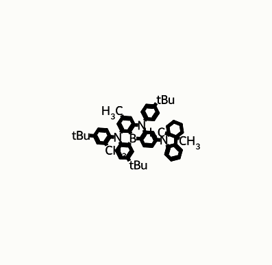 Cc1cc2c3c(c1)N(c1ccc(C(C)(C)C)cc1C)c1ccc(C(C)(C)C)cc1B3c1ccc(N3c4ccccc4C4(C)CCCCC34C)cc1N2c1ccc(C(C)(C)C)cc1